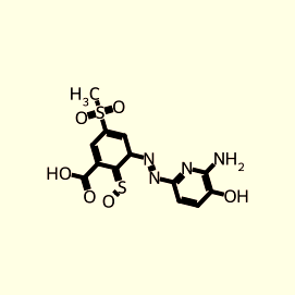 CS(=O)(=O)C1=CC(N=Nc2ccc(O)c(N)n2)C(=S=O)C(C(=O)O)=C1